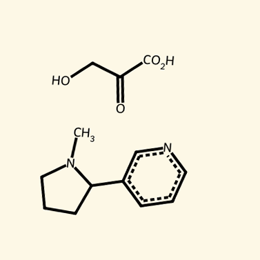 CN1CCCC1c1cccnc1.O=C(O)C(=O)CO